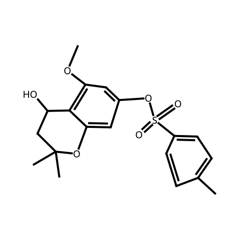 COc1cc(OS(=O)(=O)c2ccc(C)cc2)cc2c1C(O)CC(C)(C)O2